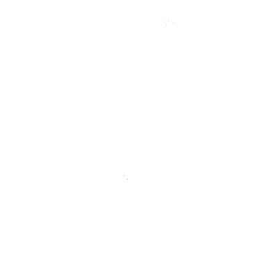 C=CC(=O)NCCCCOc1ccccc1C(=O)OC